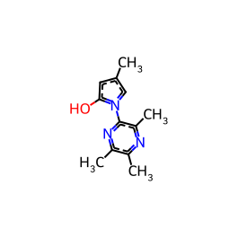 Cc1cc(O)n(-c2nc(C)c(C)nc2C)c1